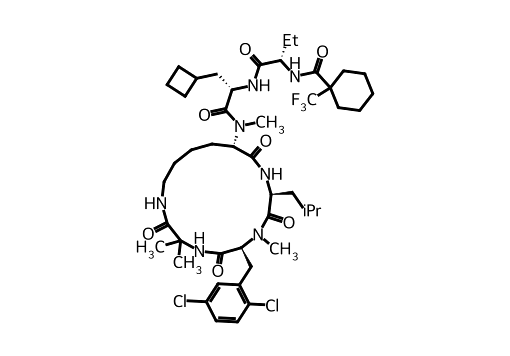 CC[C@H](NC(=O)C1(C(F)(F)F)CCCCC1)C(=O)N[C@@H](CC1CCC1)C(=O)N(C)[C@H]1CCCCNC(=O)C(C)(C)NC(=O)[C@H](Cc2cc(Cl)ccc2Cl)N(C)C(=O)[C@H](CC(C)C)NC1=O